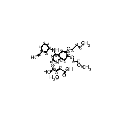 C#Cc1cccc(Nc2ncnc3cc(OCCOC)c(OCCOC)cc23)c1.O.O=C(O)C=CC(=O)O